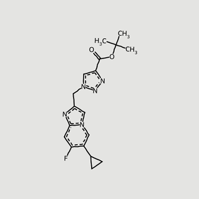 CC(C)(C)OC(=O)c1cn(Cc2cn3cc(C4CC4)c(F)cc3n2)nn1